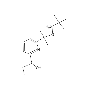 CCC(O)c1cccc(C(C)(C)O[SiH2]C(C)(C)C)n1